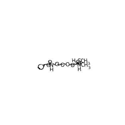 CC(C)[C@@H](C)NC(=O)CCOCCOCCOCCOCCNC(=O)OCC1C2CCC#CCCC21